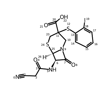 N#CCC(=O)N[C@@H]1C(=O)N2CC(Sc3ccccc3I)(C(=O)O)CS[C@H]12